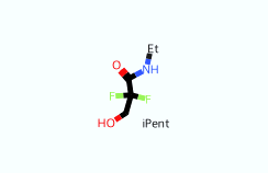 CCC[C@H](C)C(O)C(F)(F)C(=O)NCC